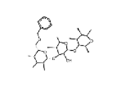 CC1C(C)[C@H](C)[C@H](COCc2ccccc2)O[C@@H]1O[C@@H]1C(O)[C@H](OC2[C@H](C)OC(C)[C@H](C)[C@@H]2C)OC(C)[C@@H]1C